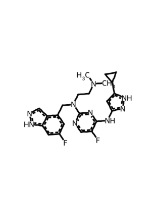 CN(C)CCN(Cc1cc(F)cc2[nH]ncc12)c1ncc(F)c(Nc2cc(C3CC3)[nH]n2)n1